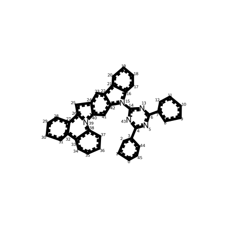 c1ccc(-c2nc(-c3ccccc3)nc(-n3c4ccccc4c4cc5cc6c7ccccc7c7ccccc7n6c5cc43)n2)cc1